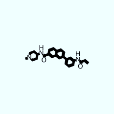 C=CC(=O)Nc1cccc(-c2ccc3ccc(C(=O)NC4CCN(C)CC4)cc3c2)c1